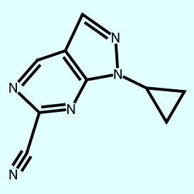 N#Cc1ncc2cnn(C3CC3)c2n1